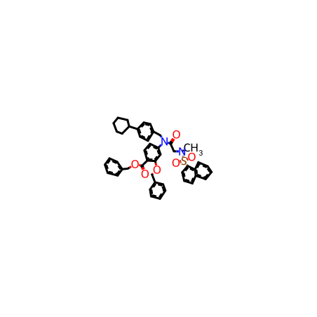 CN(CC(=O)N(Cc1ccc(C2CCCCC2)cc1)c1ccc(C(=O)OCc2ccccc2)c(OCc2ccccc2)c1)S(=O)(=O)c1cccc2ccccc12